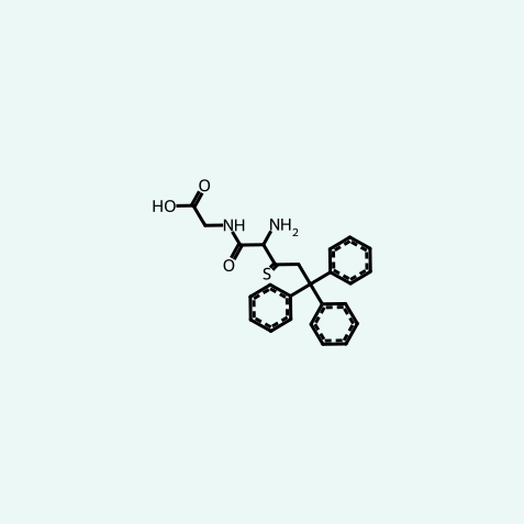 NC(C(=O)NCC(=O)O)C(=S)CC(c1ccccc1)(c1ccccc1)c1ccccc1